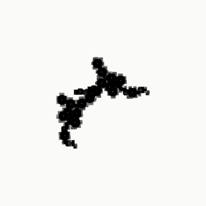 C=Cc1ccc(OCCCCC2(c3cccc4ccccc34)c3ccccc3-c3ccc(N(c4ccc(-c5ccccc5)cc4)c4ccc(-c5ccc6c(c5)C(CCCCCCCC)(CCCCCCCC)c5cc(-c7ccc(N(c8ccc(-c9ccccc9)cc8)c8ccc9c(c8)C(CCCCOc8ccc(C=C)cc8)(c8cccc%10ccccc8%10)c8ccccc8-9)cc7)ccc5-6)cc4)cc32)cc1